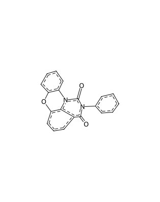 O=c1c2cccc3c2n(c(=O)n1-c1ccccc1)-c1ccccc1O3